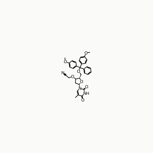 COc1ccc(C(OC[C@H]2O[C@@H](n3cc(C)c(=O)[nH]c3=O)CC2OCC#N)(c2ccccc2)c2ccc(OC)cc2)cc1